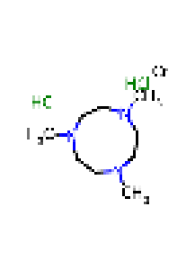 CN1CCN(C)CCN(C)CC1.Cl.Cl.[Cr]